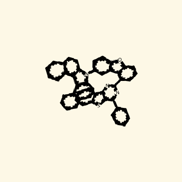 c1ccc(-c2nc(-c3cccc4oc5ccc(-n6c7ccc8ccccc8c7c7c8ccccc8ccc76)cc5c34)nc3c2sc2ccccc23)cc1